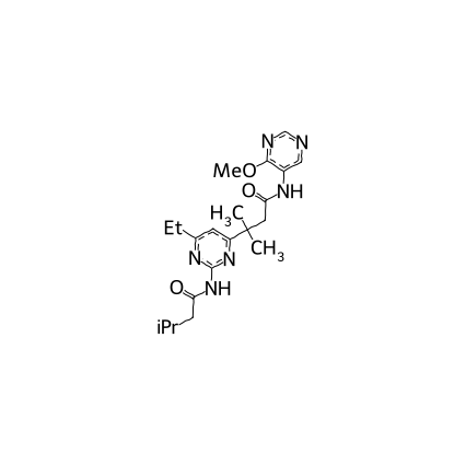 CCc1cc(C(C)(C)CC(=O)Nc2cncnc2OC)nc(NC(=O)CC(C)C)n1